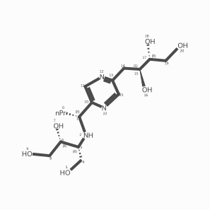 CCC[C@@H](N[C@H](CO)[C@@H](O)CO)c1cnc(C[C@H](O)[C@H](O)CO)cn1